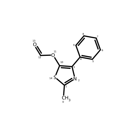 Cc1nc(-c2ccccc2)c(OC=O)s1